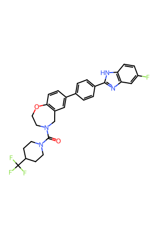 O=C(N1CCC(C(F)(F)F)CC1)N1CCOc2ccc(-c3ccc(-c4nc5cc(F)ccc5[nH]4)cc3)cc2C1